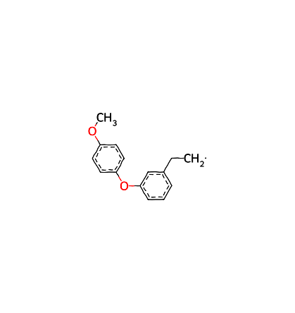 [CH2]Cc1cccc(Oc2ccc(OC)cc2)c1